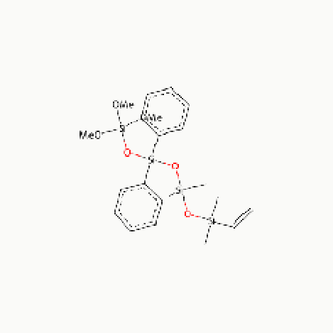 C=C[Si](C)(C)O[Si](C)(C)O[Si](O[Si](OC)(OC)OC)(c1ccccc1)c1ccccc1